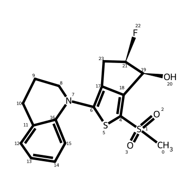 CS(=O)(=O)c1sc(N2CCCc3ccccc32)c2c1[C@H](O)[C@H](F)C2